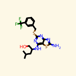 CC(C)CC(CO)Nc1nc(SCc2cccc(C(F)(F)F)c2)nc2nc(N)sc12